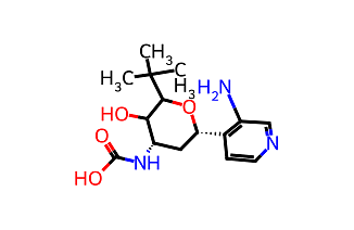 CC(C)(C)C1O[C@H](c2ccncc2N)C[C@H](NC(=O)O)C1O